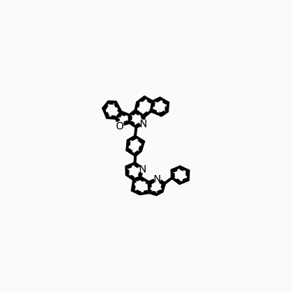 c1ccc(-c2ccc3ccc4ccc(-c5ccc(-c6nc7c8ccccc8ccc7c7c6oc6ccccc67)cc5)nc4c3n2)cc1